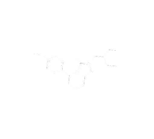 CC(=O)Nc1ccc(-c2cccc3nn(C/C(=C/F)CN)c(=O)n23)cc1